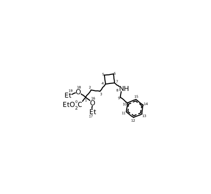 CCOC(=O)C(CCC1CCC1NCc1ccccc1)(OCC)OCC